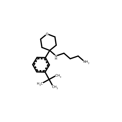 CC(C)(C)c1cccc(C2(NCCCN)CCOCC2)c1